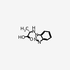 C[C@H](Nn1nnc2ccccc21)C(=O)O